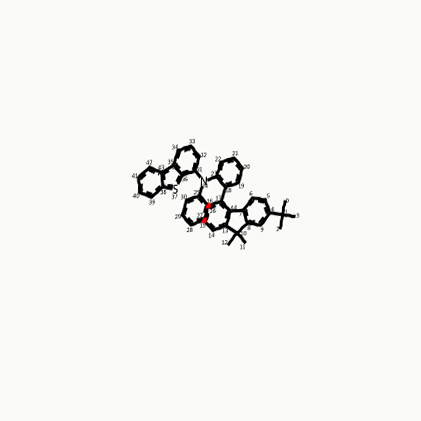 CC(C)(C)c1ccc2c(c1)C(C)(C)c1cccc(-c3ccccc3N(c3ccccc3)c3cccc4c3sc3ccccc34)c1-2